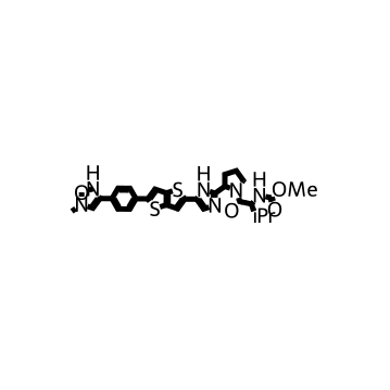 COC(=O)NC(C(=O)N1CCCC1c1ncc(-c2cc3sc(-c4ccc(C5=CN(C)ON5)cc4)cc3s2)[nH]1)C(C)C